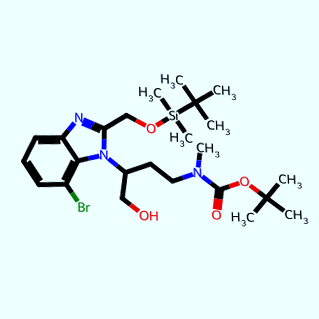 CN(CCC(CO)n1c(CO[Si](C)(C)C(C)(C)C)nc2cccc(Br)c21)C(=O)OC(C)(C)C